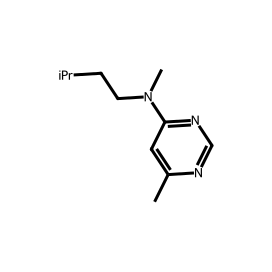 Cc1cc(N(C)CCC(C)C)ncn1